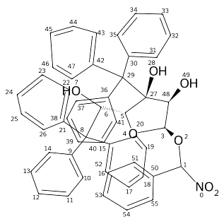 O=[N+]([O-])C(O[C@H]1O[C@H](C(O)C(c2ccccc2)(c2ccccc2)c2ccccc2)[C@](O)(C(c2ccccc2)(c2ccccc2)c2ccccc2)[C@H]1O)c1ccccc1